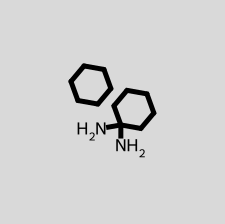 C1CCCCC1.NC1(N)CCCCC1